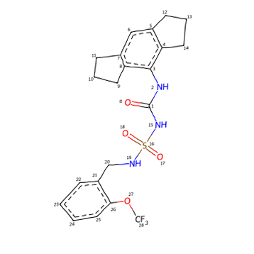 O=C(Nc1c2c(cc3c1CCC3)CCC2)NS(=O)(=O)NCc1ccccc1OC(F)(F)F